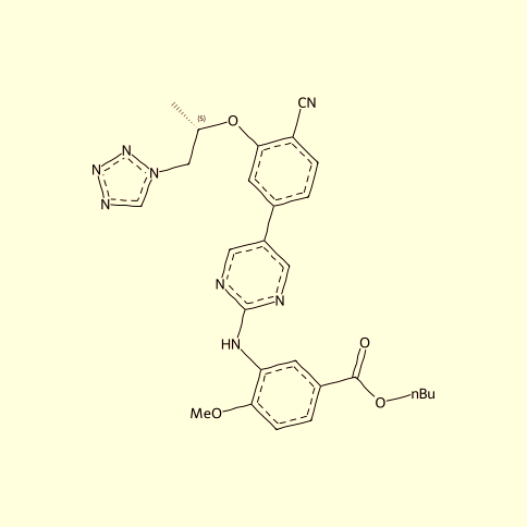 CCCCOC(=O)c1ccc(OC)c(Nc2ncc(-c3ccc(C#N)c(O[C@@H](C)Cn4cnnn4)c3)cn2)c1